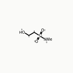 CNS(=O)(=O)CCO